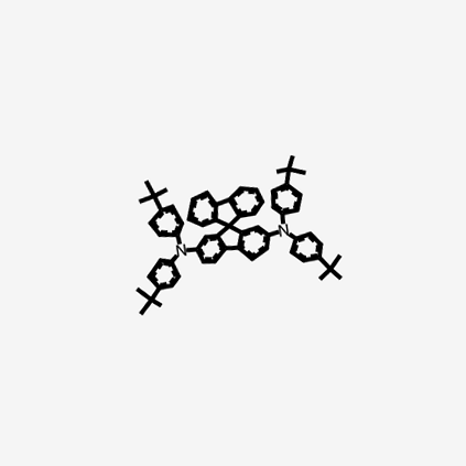 CC(C)(C)c1ccc(N(c2ccc(C(C)(C)C)cc2)c2ccc3c(c2)C2(c4ccccc4-c4ccccc42)c2cc(N(c4ccc(C(C)(C)C)cc4)c4ccc(C(C)(C)C)cc4)ccc2-3)cc1